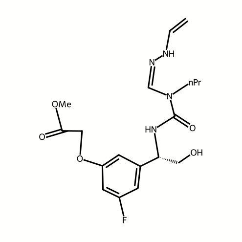 C=CN/N=C\N(CCC)C(=O)N[C@H](CO)c1cc(F)cc(OCC(=O)OC)c1